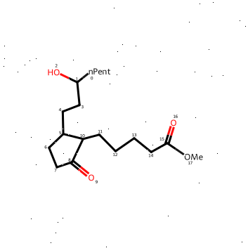 CCCCCC(O)CCC1CCC(=O)C1CCCCC(=O)OC